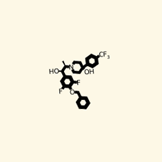 C[C@H]([C@H](O)c1cc(F)c(OCc2ccccc2)c(F)c1)N1CCC(O)(c2ccc(C(F)(F)F)cc2)CC1